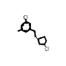 Cc1cc(Cl)cc(CC[C@H]2CC[C@@H](Cl)C2)c1